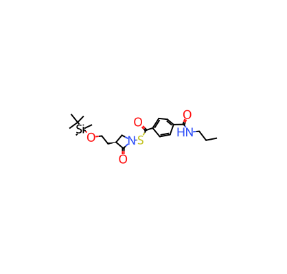 CCCNC(=O)c1ccc(C(=O)SN2C[C@H](CCO[Si](C)(C)C(C)(C)C)C2=O)cc1